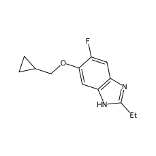 CCc1nc2cc(F)c(OCC3CC3)cc2[nH]1